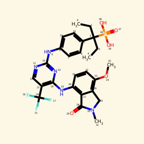 CCC(CC)(c1ccc(Nc2ncc(C(F)(F)F)c(Nc3ccc(OC)c4c3C(=O)N(C)C4)n2)cc1)P(=O)(O)O